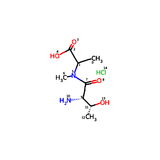 CC(C(=O)O)N(C)C(=O)[C@@H](N)[C@@H](C)O.Cl